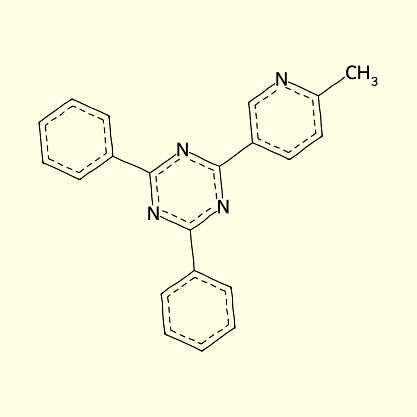 Cc1ccc(-c2nc(-c3ccccc3)nc(-c3ccccc3)n2)cn1